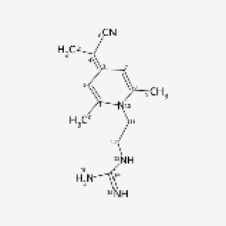 CC1=CC(=C(C)C#N)C=C(C)N1CCNC(=N)N